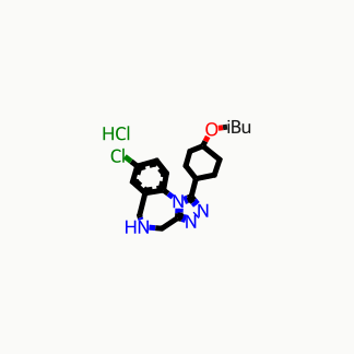 CCC(C)OC1CCC(c2nnc3n2-c2ccc(Cl)cc2CNC3)CC1.Cl